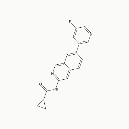 O=C(Nc1cc2ccc(-c3cncc(F)c3)cc2cn1)C1CC1